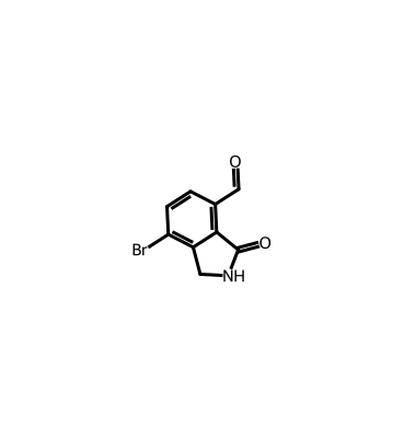 O=Cc1ccc(Br)c2c1C(=O)NC2